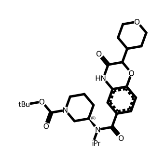 CC(C)N(C(=O)c1ccc2c(c1)NC(=O)C(C1CCOCC1)O2)[C@@H]1CCCN(C(=O)OC(C)(C)C)C1